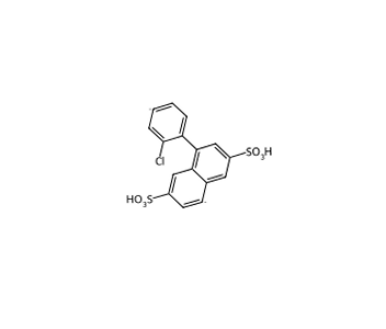 O=S(=O)(O)c1cc(-c2cc[c]cc2Cl)c2cc(S(=O)(=O)O)c[c]c2c1